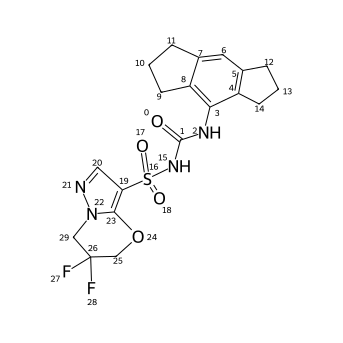 O=C(Nc1c2c(cc3c1CCC3)CCC2)NS(=O)(=O)c1cnn2c1OCC(F)(F)C2